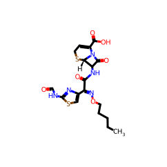 CCCCCON=C(C(=O)NC1C(=O)N2C(C(=O)O)=CCS[C@@H]12)c1csc(NC=O)n1